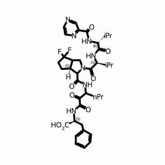 CCCC(NC(=O)C1[C@H]2CCC(F)(F)C2CN1C(=O)[C@@H](NC(=O)[C@H](NC(=O)c1cnccn1)C(C)C)C(C)C)C(=O)C(=O)N[C@@H](Cc1ccccc1)C(=O)O